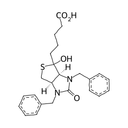 O=C(O)CCCCC1(O)SC[C@H]2[C@@H]1N(Cc1ccccc1)C(=O)N2Cc1ccccc1